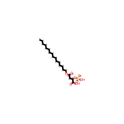 CCCCCCCCCCCCCCCCOC(=O)CC(OS(=O)(=O)O)C(=O)O